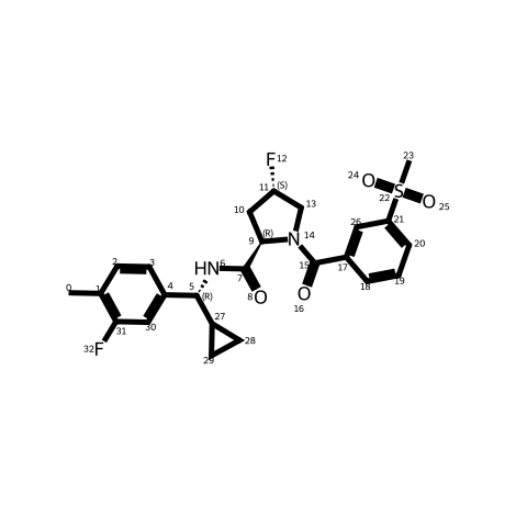 Cc1ccc([C@H](NC(=O)[C@H]2C[C@H](F)CN2C(=O)c2cccc(S(C)(=O)=O)c2)C2CC2)cc1F